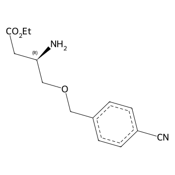 CCOC(=O)C[C@@H](N)COCc1ccc(C#N)cc1